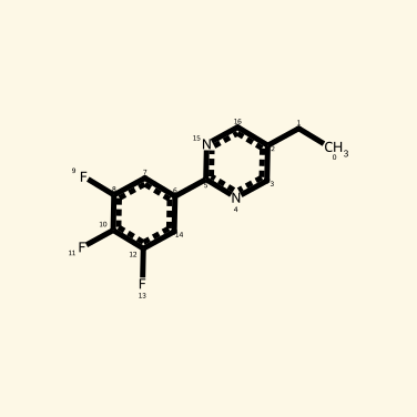 CCc1cnc(-c2cc(F)c(F)c(F)c2)nc1